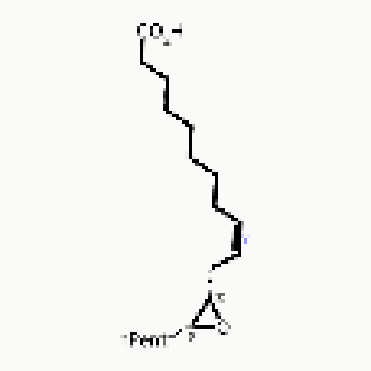 CCCCC[C@H]1O[C@H]1C/C=C\CCCCCCCC(=O)O